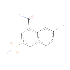 COc1ccc2cc(S(N)(=O)=O)cc(C(N)=O)c2c1